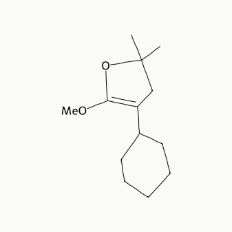 COC1=C(C2CCCCC2)CC(C)(C)O1